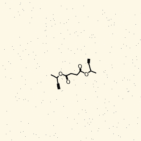 C#CC(C)OC(=O)CCC(=O)OC(C)C#C